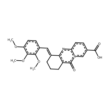 COc1ccc(C=C2CCCc3c2nc2ccc(C(=O)O)cn2c3=O)c(OC)c1OC